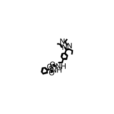 CCc1nc2c(C)nc(C)cn2c1-c1ccc(CCNC(=O)NS(=O)(=O)c2ccccc2)cc1